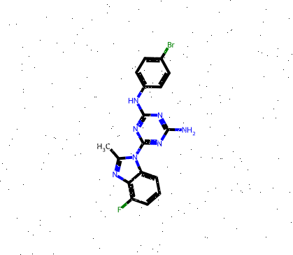 Cc1nc2c(F)cccc2n1-c1nc(N)nc(Nc2ccc(Br)cc2)n1